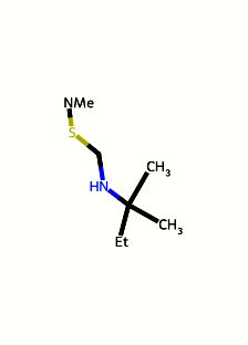 CCC(C)(C)NCSNC